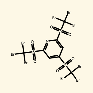 O=S(=O)(c1cc(S(=O)(=O)C(Br)(Br)Br)nc(S(=O)(=O)C(Br)(Br)Br)c1)C(Br)(Br)Br